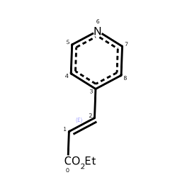 CCOC(=O)/C=C/c1ccncc1